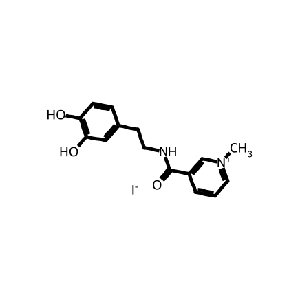 C[n+]1cccc(C(=O)NCCc2ccc(O)c(O)c2)c1.[I-]